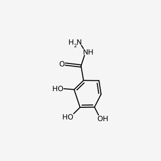 NNC(=O)c1ccc(O)c(O)c1O